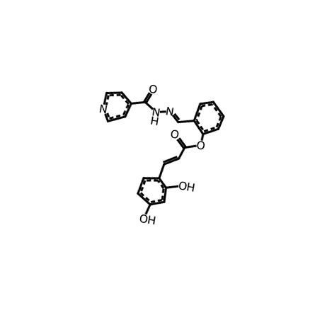 O=C(/C=C/c1ccc(O)cc1O)Oc1ccccc1C=NNC(=O)c1ccncc1